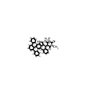 CN1C(=O)C(C(c2ccccc2Cl)c2c[nH]c3cc(-c4c(-c5ccccc5)cccc4-c4ccccc4)ccc23)C(=O)N(C)C1=O